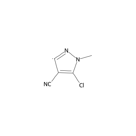 Cn1n[c]c(C#N)c1Cl